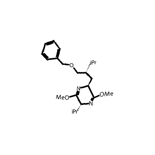 COC1=N[C@H](C(C)C)C(OC)=N[C@H]1C[C@H](COCc1ccccc1)C(C)C